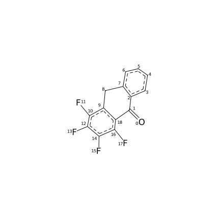 O=C1c2ccccc2Cc2c(F)c(F)c(F)c(F)c21